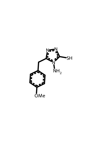 COc1ccc(Cc2nnc(S)n2N)cc1